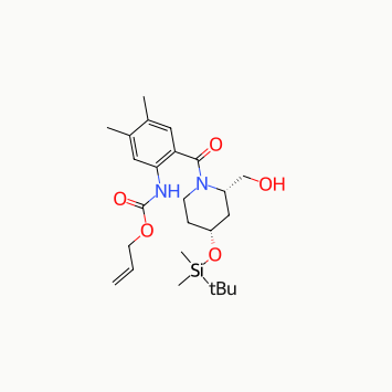 C=CCOC(=O)Nc1cc(C)c(C)cc1C(=O)N1CC[C@@H](O[Si](C)(C)C(C)(C)C)C[C@H]1CO